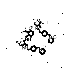 COCc1nn(Cc2ccc(Cn3ccccc3=O)cc2)cc1C(=O)NCc1c(F)ccc(OC)c1C(F)F.COCc1nn(Cc2ccc(Cn3ccccc3=O)cc2)cc1C(=O)O